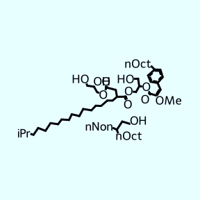 CCCCCCCCCC(CCO)CCCCCCCC.CCCCCCCCc1ccc(C=C(OC)C(=O)OC(CO)COC(=O)C(CCCCCCCCCCCCCCCC(C)C)CC(=O)OCC(O)CO)cc1